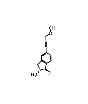 COCC#Cc1ccc2c(c1)CN(C)C2=O